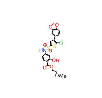 COCCOC(=O)c1ccc(NS(=O)(=O)c2cc(-c3ccc4c(c3)OCO4)c(Cl)s2)cc1O